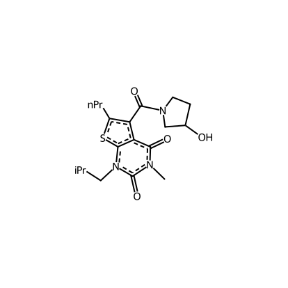 CCCc1sc2c(c1C(=O)N1CCC(O)C1)c(=O)n(C)c(=O)n2CC(C)C